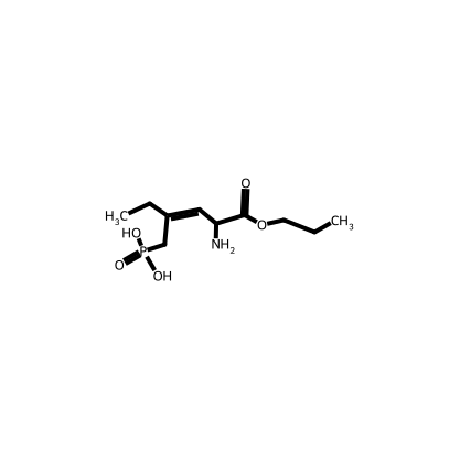 CCCOC(=O)C(N)C=C(CC)CP(=O)(O)O